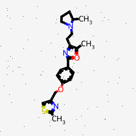 Cc1nc(COc2ccc(-c3nc(CCN4CCCC4C)c(C)o3)cc2)cs1